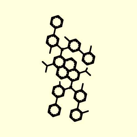 Cc1ccccc1-c1ccc(C)c(N(c2cc(-c3ccccc3)ccc2C)c2cc(C(C)C)c3ccc4c(N(c5cc(-c6ccccc6)ccc5C)c5cc(-c6ccccc6C)ccc5C)cc(C(C)C)c5ccc2c3c54)c1